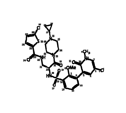 COc1c(-c2cc(Cl)cn(C)c2=O)cccc1S(=O)(=O)N[C@@H](CNC(=O)c1ccc(Cl)s1)C(=O)N1CCN(C2CC2)CC1